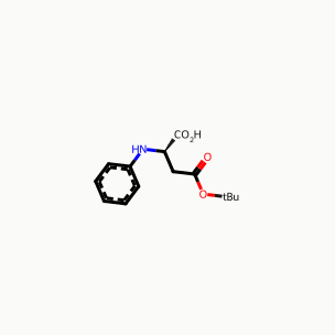 CC(C)(C)OC(=O)C[C@@H](Nc1ccccc1)C(=O)O